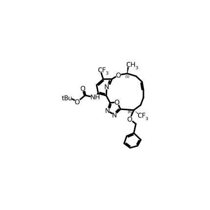 C[C@H]1CC=CCC[C@](OCc2ccccc2)(C(F)(F)F)c2nnc(o2)-c2nc(c(C(F)(F)F)cc2NC(=O)OC(C)(C)C)O1